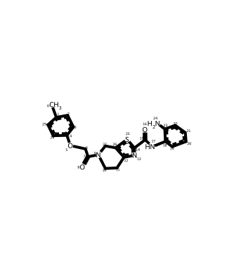 Cc1ccc(OCC(=O)N2CCc3nc(C(=O)Nc4ccccc4N)sc3C2)cc1